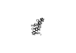 Nc1cnccc1-c1cc(F)c(C(=O)Nc2cnc(-n3nccn3)c(Cl)c2)cc1Cl.O=CO